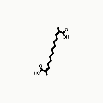 CC(=CCCCCCCCCC=C(C)C(=O)O)C(=O)O